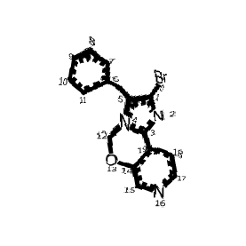 Brc1nc2n(c1-c1ccccc1)COc1cnccc1-2